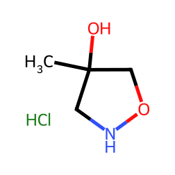 CC1(O)CNOC1.Cl